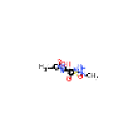 CCNC(=O)Nc1nc2cc(-c3cnc([N+]4(C(=O)O)CCC(CC)CC4)nc3)cc(C=O)c2s1